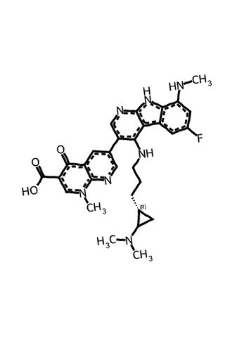 CNc1cc(F)cc2c1[nH]c1ncc(-c3cnc4c(c3)c(=O)c(C(=O)O)cn4C)c(NCCC[C@@H]3CC3N(C)C)c12